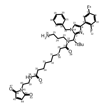 CC(C)(C)[C@H](c1nc(-c2cc(F)ccc2F)cn1Cc1ccccc1)N(CCCN)C(=O)CSCCCCCC(=O)NCCN1C(=O)C=CC1=O